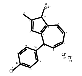 CC1=CC2=C(C=CC=CC2c2ccc(Cl)cc2)[CH]1[Zr+2].[Cl-].[Cl-]